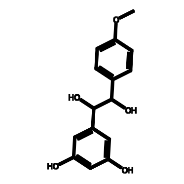 COc1ccc(C(O)C(O)c2cc(O)cc(O)c2)cc1